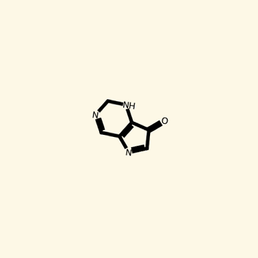 O=C1C=NC2=C1NCN=C2